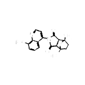 CC12CCC(C)(O1)C1C(=O)N(c3ccnc4c(C(F)(F)F)cccc34)C(=O)C12